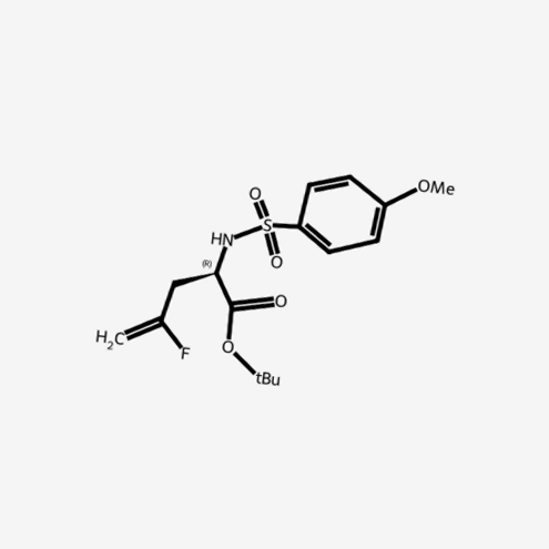 C=C(F)C[C@@H](NS(=O)(=O)c1ccc(OC)cc1)C(=O)OC(C)(C)C